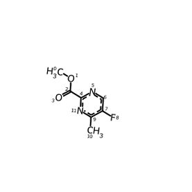 COC(=O)c1ncc(F)c(C)n1